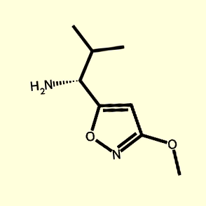 COc1cc([C@H](N)C(C)C)on1